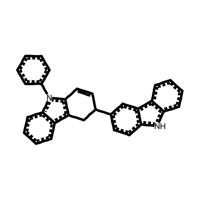 C1=CC(c2ccc3[nH]c4ccccc4c3c2)Cc2c1n(-c1ccccc1)c1ccccc21